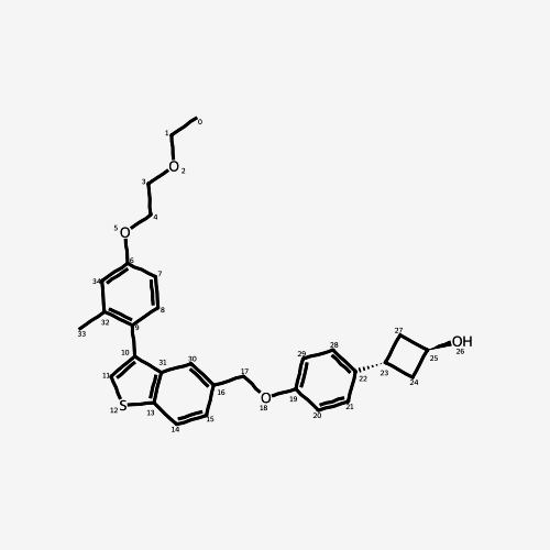 CCOCCOc1ccc(-c2csc3ccc(COc4ccc([C@H]5C[C@H](O)C5)cc4)cc23)c(C)c1